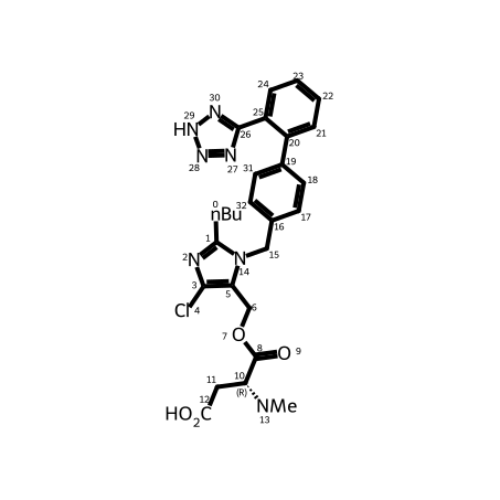 CCCCc1nc(Cl)c(COC(=O)[C@@H](CC(=O)O)NC)n1Cc1ccc(-c2ccccc2-c2nn[nH]n2)cc1